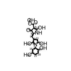 O=C(OO)C1=C(O)N/C(=C\c2cc(O)n(-c3cc(O)ccc3O)c2O)C1=O